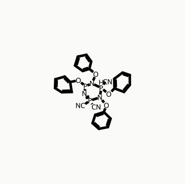 N#CP1(C#N)=NP(Oc2ccccc2)N(Oc2ccccc2)[PH](C#N)(Oc2ccccc2)N1Oc1ccccc1